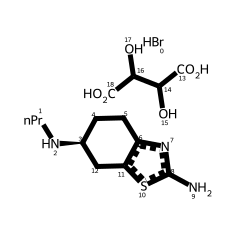 Br.CCCN[C@H]1CCc2nc(N)sc2C1.O=C(O)C(O)C(O)C(=O)O